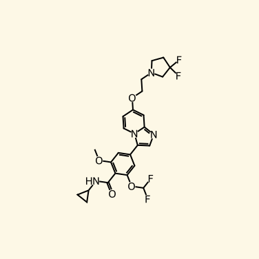 COc1cc(-c2cnc3cc(OCCN4CCC(F)(F)C4)ccn23)cc(OC(F)F)c1C(=O)NC1CC1